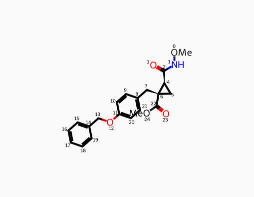 CONC(=O)[C@H]1C[C@]1(Cc1ccc(OCc2ccccc2)cc1)C(=O)OC